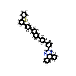 C1=CC(c2cnc3c4ccccc4c4ccccc4c3n2)CC(c2ccc(-c3ccc4cc(C5C=CC(c6cccc7c8c(sc67)C=CCC8)=CC5)ccc4c3)cc2)=C1